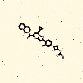 COC(=O)N[C@H]1C[C@H](c2ccc(-c3cc4nc(C(=O)N5CCc6ccccc6[C@H]5C)cc(C5CC5)n4n3)c(F)c2)C1